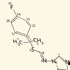 CC(C)(SC=Nn1cncn1)c1ccc(F)cc1